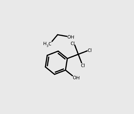 CCO.Oc1ccccc1C(Cl)(Cl)Cl